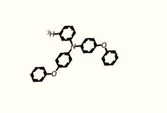 [3H]c1cccc(N(c2ccc(Oc3ccccc3)cc2)c2ccc(Oc3ccccc3)cc2)c1